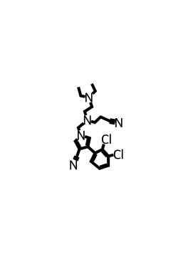 CCN(CC)CCN(CCC#N)Cn1cc(C#N)c(-c2cccc(Cl)c2Cl)c1